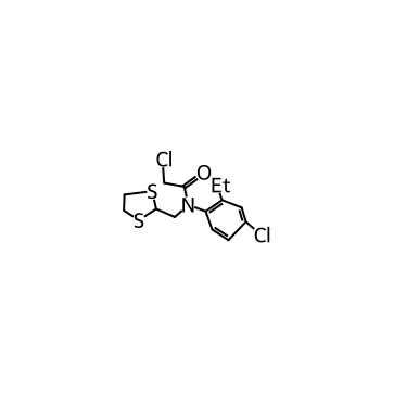 CCc1cc(Cl)ccc1N(CC1SCCS1)C(=O)CCl